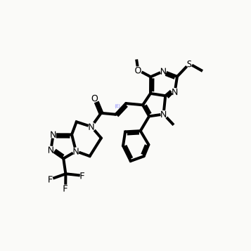 COc1nc(SC)nc2c1c(/C=C/C(=O)N1CCn3c(nnc3C(F)(F)F)C1)c(-c1ccccc1)n2C